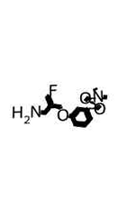 CN(C)S(=O)(=O)c1cccc(OC/C(=C\F)CN)c1